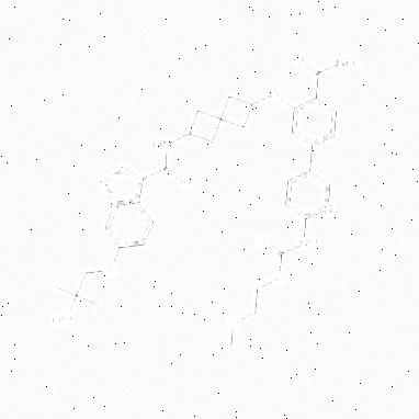 COCCOC(=O)Nc1ccc(-c2ccc(C(N)=O)c(OC3CC4(CC(NC(=O)c5cnn6cc(OCC(C)(C)O)ccc56)C4)C3)c2)cn1